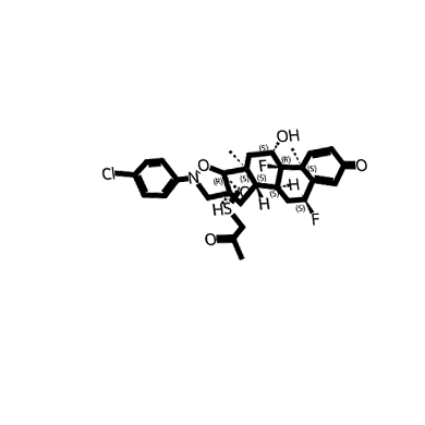 CC(=O)CSC(=O)[C@@]12ON(c3ccc(Cl)cc3)C[C@@H]1C[C@H]1[C@@H]3C[C@H](F)C4=CC(=O)C=C[C@]4(C)[C@@]3(F)[C@@H](O)C[C@@]12C